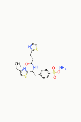 CCc1csc(C(Cc2ccc(S(=O)(=O)ON)cc2)NC(=O)CCc2nccs2)n1